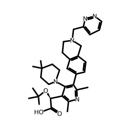 Cc1nc(C)c([C@H](OC(C)(C)C)C(=O)O)c(N2CCC(C)(C)CC2)c1-c1ccc2c(c1)CCN(Cc1cccnn1)C2